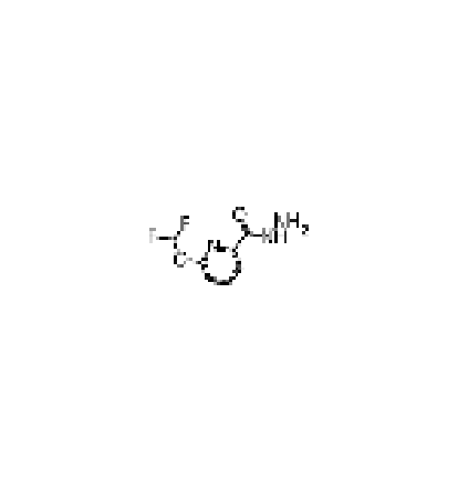 NNC(=O)c1cccc(OC(F)F)n1